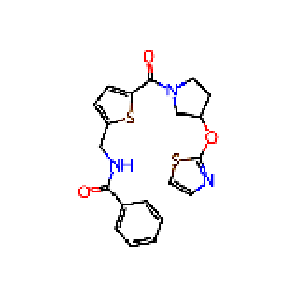 O=C(NCc1ccc(C(=O)N2CCC(Oc3nccs3)C2)s1)c1ccccc1